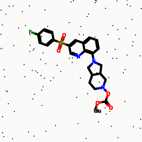 CC(C)(C)OC(=O)ON1CCC2CN(c3cccc4cc(S(=O)(=O)c5ccc(F)cc5)cnc34)CC2C1